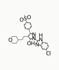 CS(=O)(=O)c1ccc(-c2nn(-c3nc4cc(Cl)ccc4[nH]3)c(O)c2CCC2CCOCC2)cc1